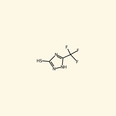 FC(F)(F)c1nc(S)n[nH]1